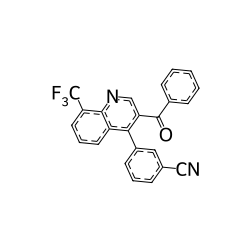 N#Cc1cccc(-c2c(C(=O)c3ccccc3)cnc3c(C(F)(F)F)cccc23)c1